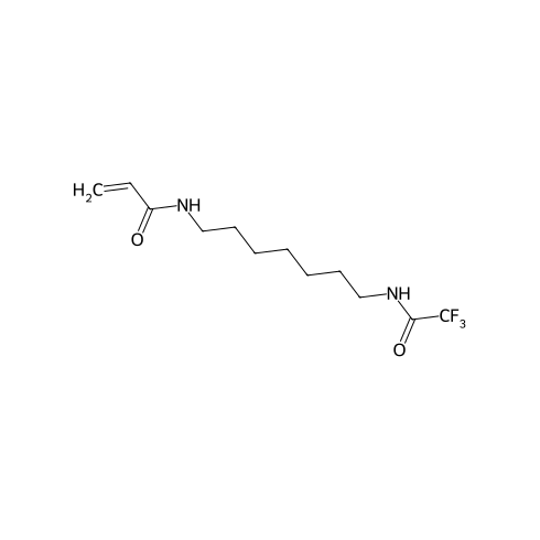 C=CC(=O)NCCCCCCCNC(=O)C(F)(F)F